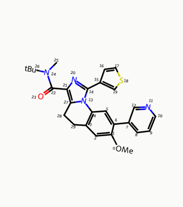 COc1cc2c(cc1-c1cccnc1)-n1c(-c3ccsc3)nc(C(=O)N(C)C(C)(C)C)c1CC2